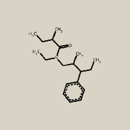 CCC(C)C(=O)N(CC)CC(C)C(CC)c1ccccc1